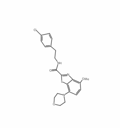 COc1ccc(N2CCOCC2)c2sc(C(=O)NCCc3ccc(Cl)cc3)nc12